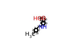 Cc1ccc(CNc2ccc3c(c2)B(O)OC3)cc1